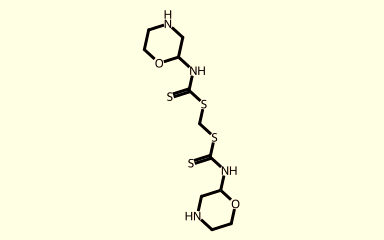 S=C(NC1CNCCO1)SCSC(=S)NC1CNCCO1